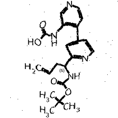 C=CC[C@H](NC(=O)OC(C)(C)C)c1cc(-c2ccncc2NC(=O)O)ccn1